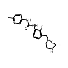 Cc1ccc(NC(=O)Nc2cccc(CN3CCN[C@@H](C)C3)c2F)cn1